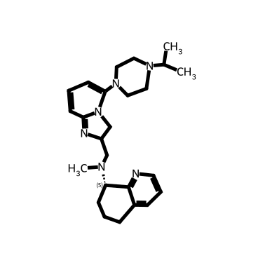 CC(C)N1CCN(C2=CC=CC3=NC(CN(C)[C@H]4CCCc5cccnc54)CN23)CC1